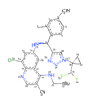 Cc1cc(C#N)ccc1[C@H](Nc1cc(Cl)c2ncc(C#N)c(NCC(C)(C)C)c2c1)c1cn(C2(C(F)F)CC2)nn1